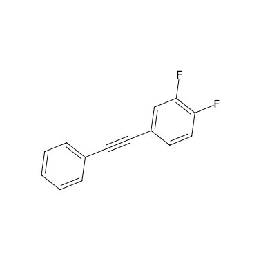 Fc1ccc(C#Cc2ccccc2)cc1F